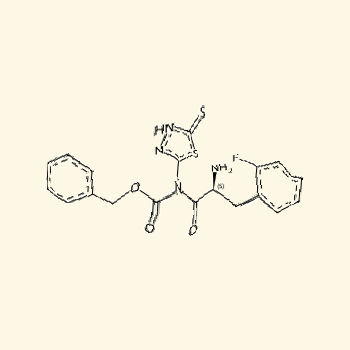 N[C@@H](Cc1ccccc1F)C(=O)N(C(=O)OCc1ccccc1)c1n[nH]c(=S)s1